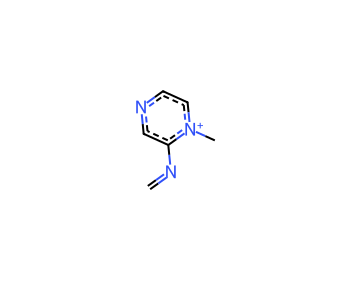 C=Nc1cncc[n+]1C